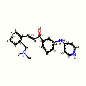 CN(C)Cc1ccccc1/C=C/C(=O)c1cccc(Nc2ccncc2)c1